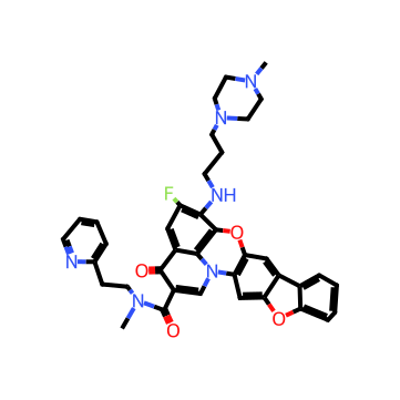 CN1CCN(CCCNc2c(F)cc3c(=O)c(C(=O)N(C)CCc4ccccn4)cn4c3c2Oc2cc3c(cc2-4)oc2ccccc23)CC1